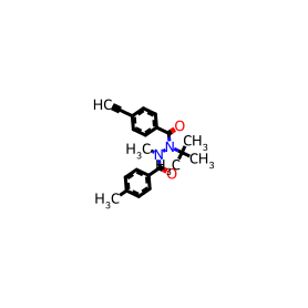 C#Cc1ccc(C(=O)N(N(C)C(=O)c2ccc(C)cc2)C(C)(C)C)cc1